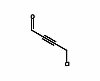 O=CC#CCCl